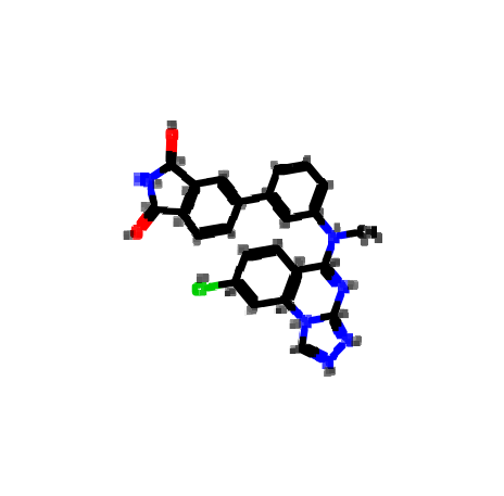 CN(c1cccc(-c2ccc3c(c2)C(=O)NC3=O)c1)c1nc2nncn2c2cc(Cl)ccc12